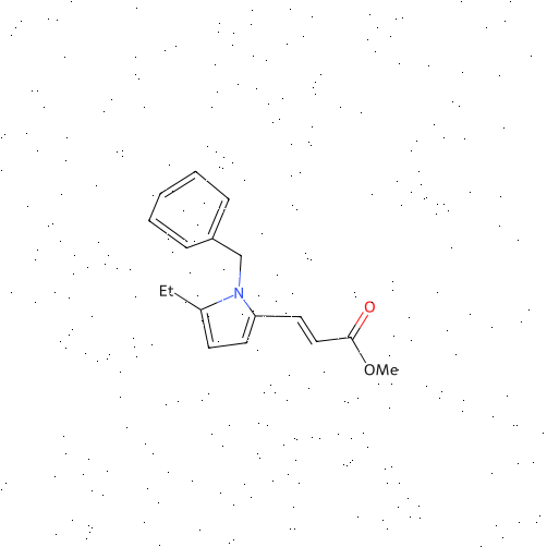 CCc1ccc(C=CC(=O)OC)n1Cc1ccccc1